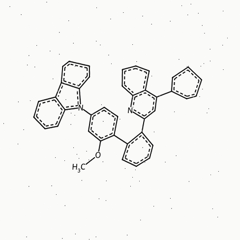 COc1cc(-n2c3ccccc3c3ccccc32)ccc1-c1ccccc1-c1cc(-c2ccccc2)c2ccccc2n1